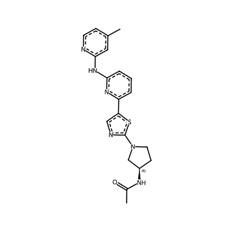 CC(=O)N[C@@H]1CCN(c2ncc(-c3cccc(Nc4cc(C)ccn4)n3)s2)C1